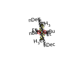 CCCCCCCCCCCCCCc1cc(-c2cc3c(OCC(CC)CCCC)c4sc(-c5cc(CCCCCCCCCCCCCC)c(C)s5)cc4c(OCC(CC)CCCC)c3s2)sc1C